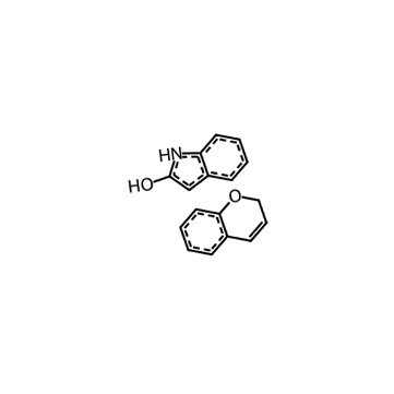 C1=Cc2ccccc2OC1.Oc1cc2ccccc2[nH]1